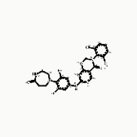 O=C1CCN(c2c(F)cc(Nc3ncc4c(n3)OCN(c3c(Cl)cccc3Cl)C4=O)cc2F)CCN1